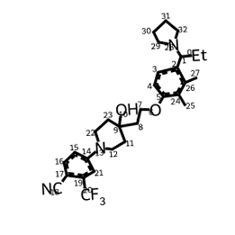 CCC(c1ccc(OCCC2(O)CCN(c3ccc(C#N)c(C(F)(F)F)c3)CC2)c(C)c1C)N1CCCC1